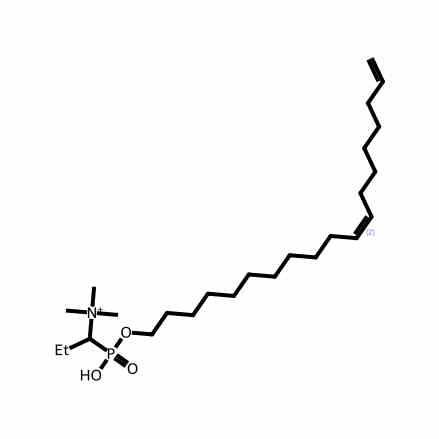 C=CCCCCC/C=C\CCCCCCCCCCOP(=O)(O)C(CC)[N+](C)(C)C